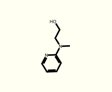 CN(CCO)c1cc[c]cn1